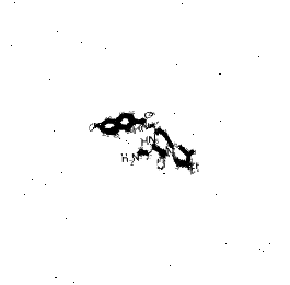 C=C(C)C(CC)CN1CC[C@@H](CNC(=O)c2ccc3cc(Cl)ccc3c2)N[C@@H](CCN)C1=O